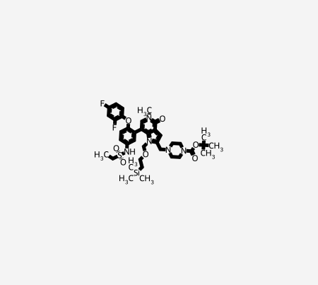 CCS(=O)(=O)Nc1ccc(Oc2ccc(F)cc2F)c(-c2cn(C)c(=O)c3cc(CN4CCN(C(=O)OC(C)(C)C)CC4)n(COCC[Si](C)(C)C)c23)c1